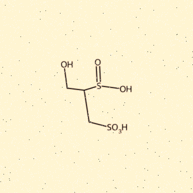 O=S(O)C(CO)CS(=O)(=O)O